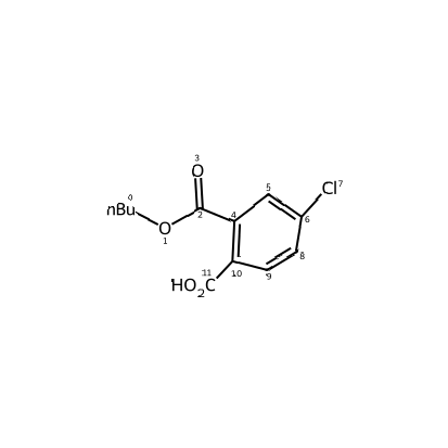 CCCCOC(=O)c1cc(Cl)ccc1C(=O)O